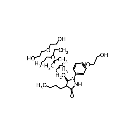 C=CC.C=CC.CCCCC1C(=O)NN(c2ccccc2)C1=O.CCOCC.OCCO.OCCOCCO